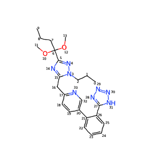 CCCn1nc(C(CCC)(OC)OC)nc1Cc1ccc(-c2ccccc2-c2nnn[nH]2)cn1